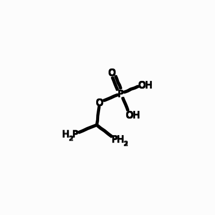 O=P(O)(O)OC(P)P